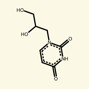 O=c1ccn(CC(O)CO)c(=O)[nH]1